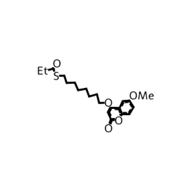 CCC(=O)SCCCCCCCCOc1cc(=O)oc2ccc(OC)cc12